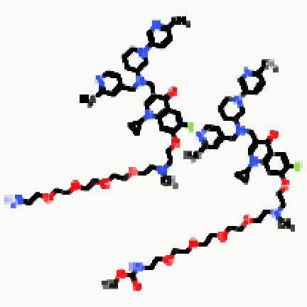 Cc1ccc(N2CCC[C@H](N(Cc3ccnc(C)c3)Cc3cn(C4CC4)c4cc(OCCN(C)CCOCCOCCOCCOCCN)c(F)cc4c3=O)C2)cn1.Cc1ccc(N2CCC[C@H](N(Cc3ccnc(C)c3)Cc3cn(C4CC4)c4cc(OCCN(C)CCOCCOCCOCCOCCNC(=O)OC(C)(C)C)c(F)cc4c3=O)C2)cn1